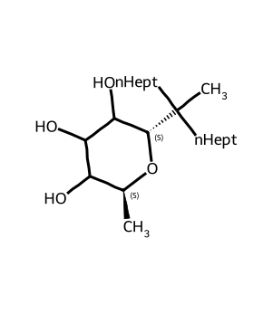 CCCCCCCC(C)(CCCCCCC)[C@@H]1O[C@@H](C)C(O)C(O)C1O